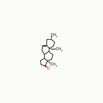 CC[C@]12CC[C@H](C)CC1=CCC1C2CC[C@]2(C)C(=O)CCC12